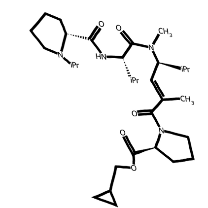 C/C(=C\[C@H](C(C)C)N(C)C(=O)[C@@H](NC(=O)[C@H]1CCCCN1C(C)C)C(C)C)C(=O)N1CCC[C@H]1C(=O)OCC1CC1